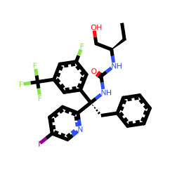 CC[C@H](CO)NC(=O)N[C@](Cc1ccccc1)(c1cc(F)cc(C(F)(F)F)c1)c1ccc(I)cn1